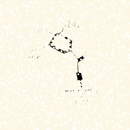 CC(C)(C)c1cc(C(=O)C#C[Si](C)(C)C)cc(C(C)(C)C)c1O